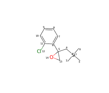 C[Si](C)(C)CC1(c2ccccc2Cl)CO1